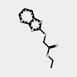 CCOC(=O)CSc1nc2cccnc2o1